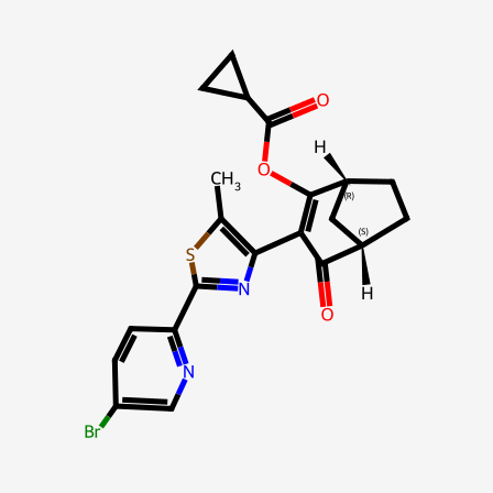 Cc1sc(-c2ccc(Br)cn2)nc1C1=C(OC(=O)C2CC2)[C@@H]2CC[C@@H](C2)C1=O